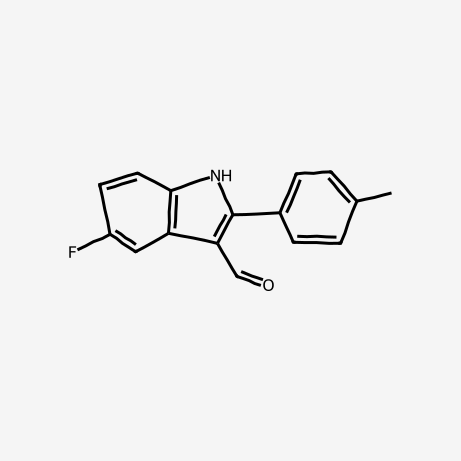 Cc1ccc(-c2[nH]c3ccc(F)cc3c2C=O)cc1